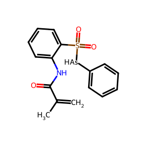 C=C(C)C(=O)Nc1ccccc1S(=O)(=O)[AsH]c1ccccc1